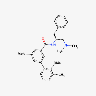 CNc1cc(C(=O)N[C@@H](Cc2ccccc2)CN(C)C)cc(-c2cccc(C)c2OC)c1